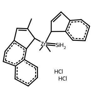 CC1=Cc2ccc3ccccc3c2[CH]1[Zr]([CH3])([CH3])(=[SiH2])[CH]1C=Cc2ccccc21.Cl.Cl